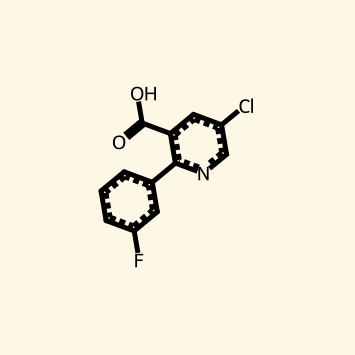 O=C(O)c1cc(Cl)cnc1-c1cccc(F)c1